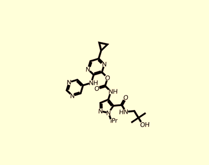 CC(C)n1ncc(NC(=O)Oc2nc(C3CC3)cnc2Nc2cncnc2)c1C(=O)NCC(C)(C)O